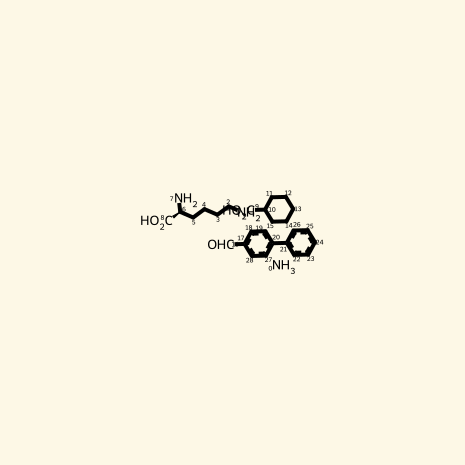 N.NCCCC[C@H](N)C(=O)O.O=C(O)C1CCCCC1.O=Cc1ccc(-c2ccccc2)cc1